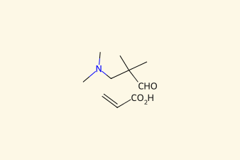 C=CC(=O)O.CN(C)CC(C)(C)C=O